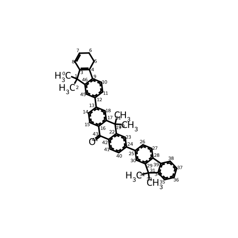 CC1(C)C2=C(CCC=C2)c2ccc(-c3ccc4c(c3)C(C)(C)c3cc(-c5ccc6c(c5)C(C)(C)c5ccccc5-6)ccc3C4=O)cc21